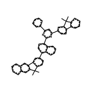 CC1(C)c2ccccc2-c2ccc(-c3cc(-c4ccccc4)nc(-c4ccc(-c5ccc6c(c5)-c5cc7ccccc7cc5C6(C)C)c5ccccc45)n3)cc21